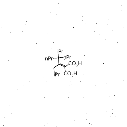 CCCC(CCC)(C(CC(C)C)=C(C(=O)O)C(=O)O)C(C)C